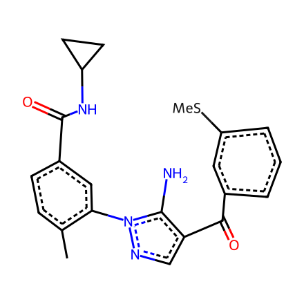 CSc1cccc(C(=O)c2cnn(-c3cc(C(=O)NC4CC4)ccc3C)c2N)c1